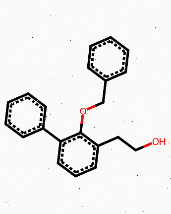 OCCc1cccc(-c2ccccc2)c1OCc1ccccc1